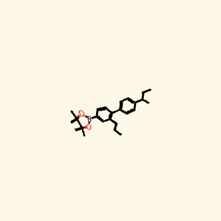 CCCc1cc(B2OC(C)(C)C(C)(C)O2)ccc1-c1ccc(C(C)CC)cc1